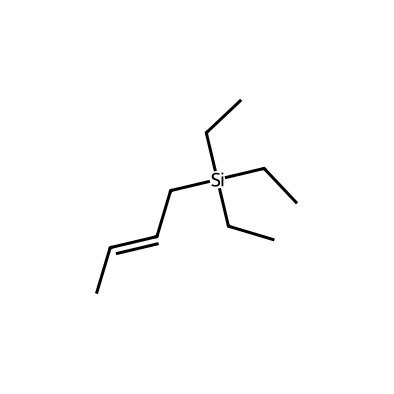 CC=CC[Si](CC)(CC)CC